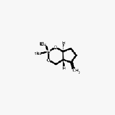 C=C1CC[C@@H]2O[Si](C(C)(C)C)(C(C)(C)C)OC[C@@H]12